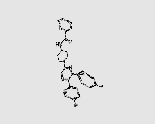 O=C(NC1CCN(c2cnc(-c3ccc(F)cc3)c(-c3ccc(F)cc3)n2)CC1)c1cnccn1